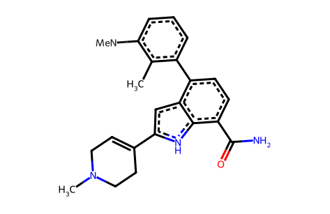 CNc1cccc(-c2ccc(C(N)=O)c3[nH]c(C4=CCN(C)CC4)cc23)c1C